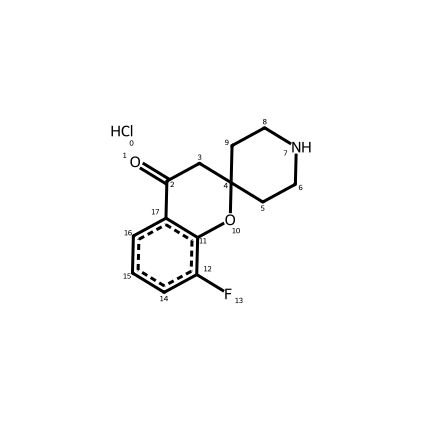 Cl.O=C1CC2(CCNCC2)Oc2c(F)cccc21